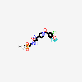 CS(=O)(=O)CCNc1cc(C2CCN(C(=O)c3ccc(OC(F)(F)F)c(Cl)c3)CC2)no1